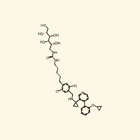 O=C(NCCCCCc1cc(Cl)c(CNC2(c3cnccc3-c3ccccc3OC3CC3)CC2)cc1Cl)NC[C@H](O)[C@@H](O)[C@H](O)[C@H](O)CO